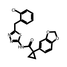 O=C(Nc1nnc(Cc2ccccc2Cl)s1)C1(c2ccc3c(c2)OCO3)CC1